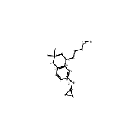 COCCCN1CC(C)(C)Cc2ccc(NC3CC3)cc21